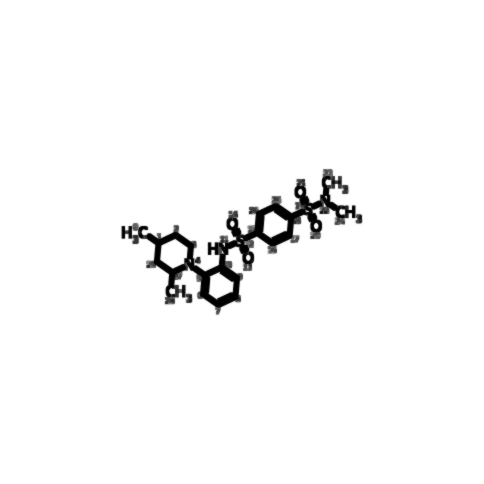 CC1CCN(c2ccccc2NS(=O)(=O)c2ccc(S(=O)(=O)N(C)C)cc2)C(C)C1